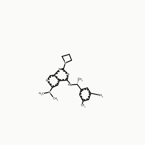 C[C@@H](Nc1nc(N2CCC2)nc2cnc(N(C)C)cc12)c1cc(N)cc(C(F)(F)F)c1